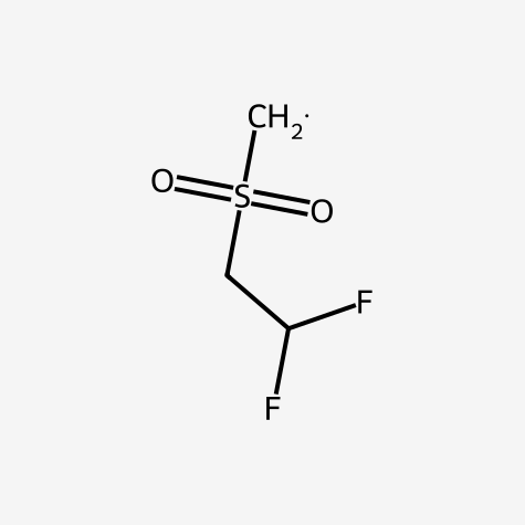 [CH2]S(=O)(=O)CC(F)F